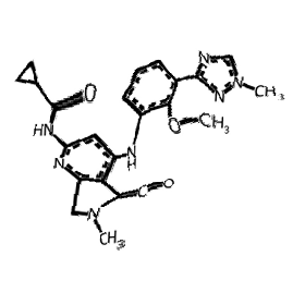 COc1c(Nc2cc(NC(=O)C3CC3)nc3c2C(=C=O)N(C)C3)cccc1-c1ncn(C)n1